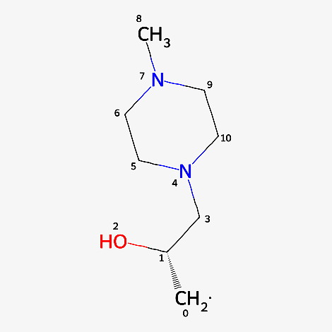 [CH2][C@H](O)CN1CCN(C)CC1